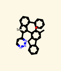 Cc1cc2c(c(-c3c(-c4ccnnn4)[se]c4cccc(-c5ccccc5)c34)c1C)Cc1ccccc1-2